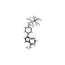 CC(C)(C)[Si](C)(C)OC1CCC(c2ccc3c(N)ncnn23)CC1